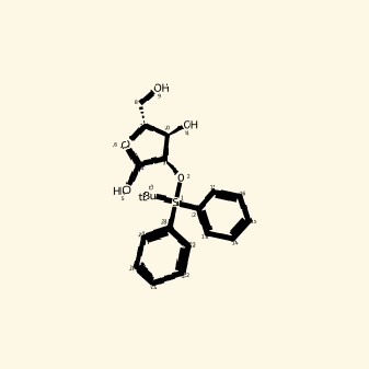 CC(C)(C)[Si](O[C@H]1C(O)O[C@H](CO)[C@H]1O)(c1ccccc1)c1ccccc1